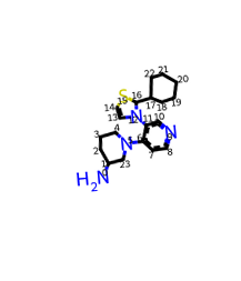 NC1CCCN(c2ccncc2N2C=CSC2C2CCCCC2)C1